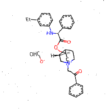 CCc1cccc(NC(C(=O)O[C@H]2C[N+]3(CC(=O)c4ccccc4)CCC2CC3)c2ccccc2)c1.O=C[O-]